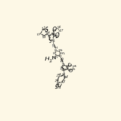 Nc1cc(C#Cc2sc(-c3cccs3)c3c2OCCO3)ccc1C#Cc1sc(-c2ccc(S)cc2)c2c1OCCO2